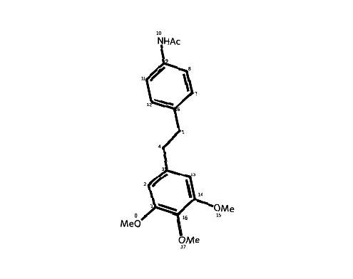 COc1cc(CCc2ccc(NC(C)=O)cc2)cc(OC)c1OC